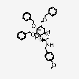 COc1ccc(CNC2=N[C@H]3[C@@H](OCc4ccccc4)[C@H](OCc4ccccc4)[C@@H](COCc4ccccc4)C[C@@H]3O2)cc1